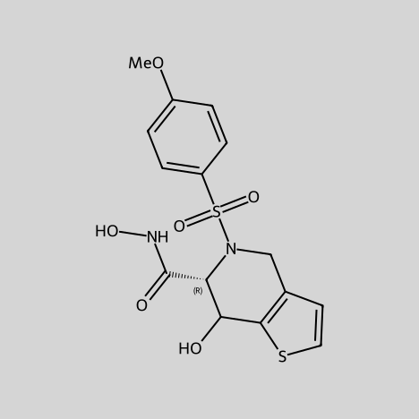 COc1ccc(S(=O)(=O)N2Cc3ccsc3C(O)[C@@H]2C(=O)NO)cc1